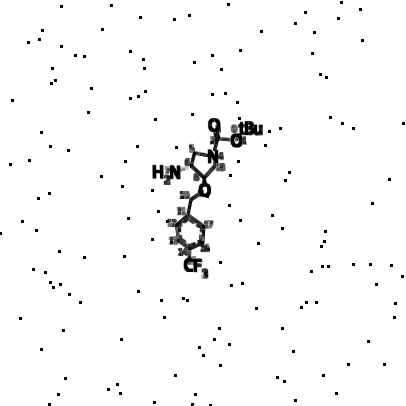 CC(C)(C)OC(=O)N1C[C@@H](N)[C@H](OCc2ccc(C(F)(F)F)cc2)C1